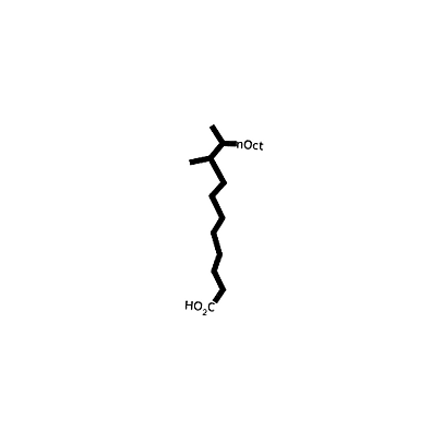 CCCCCCCCC(C)C(C)CCCCCCCC(=O)O